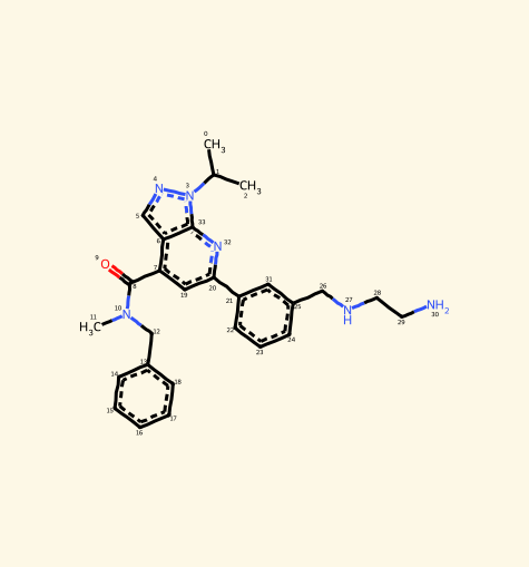 CC(C)n1ncc2c(C(=O)N(C)Cc3ccccc3)cc(-c3cccc(CNCCN)c3)nc21